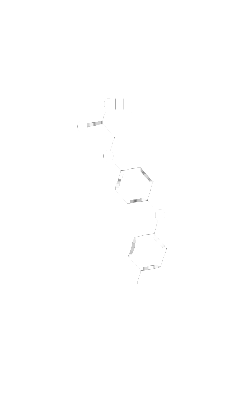 CC(=O)COc1ccc(Oc2ccc(F)cc2)cc1